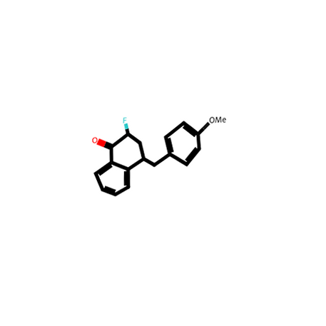 COc1ccc(CC2CC(F)C(=O)c3ccccc32)cc1